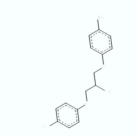 CC(C)(C)c1ccc(OCC(O)COc2ccc(O)cc2)cc1